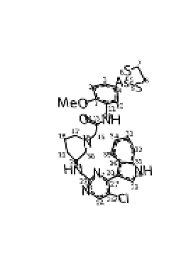 COc1ccc([As]2SCCS2)cc1NC(=O)CN1CCCC(Nc2ncc(Cl)c(-c3c[nH]c4ccccc34)n2)C1